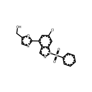 O=S(=O)(c1ccccc1)n1ncc2c(-c3ncc(CO)o3)cc(Cl)cc21